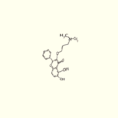 CN(C)CCCOc1c(-c2ccccc2)oc2ccc(O)c(O)c2c1=O